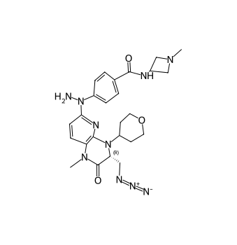 CN1CC(NC(=O)c2ccc(N(N)c3ccc4c(n3)N(C3CCOCC3)[C@H](CN=[N+]=[N-])C(=O)N4C)cc2)C1